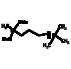 CO[Si](P)(CCCN[Si](C)(C)C)OC